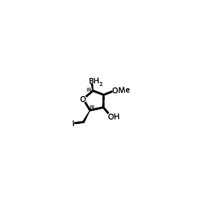 B[C@@H]1O[C@H](CI)C(O)C1OC